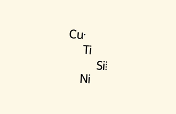 [Cu].[Ni].[Si].[Ti]